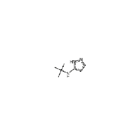 CC(C)(C)Nc1ccn[nH]1